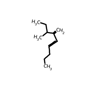 C=C(C=CCCC)C(C)CC